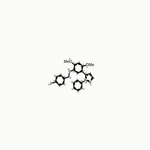 COc1cc(OC)c(-c2ccnn2-c2ccccc2)cc1SCc1ccc(F)cc1